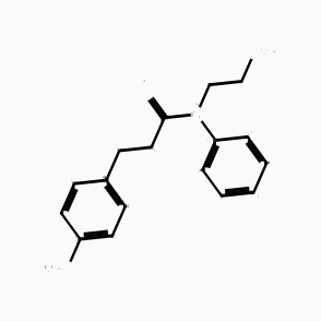 COc1ccc(CCC(=O)N(CCSC)c2ccccc2)cc1